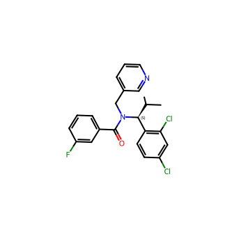 CC(C)[C@@H](c1ccc(Cl)cc1Cl)N(Cc1cccnc1)C(=O)c1cccc(F)c1